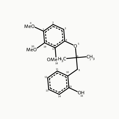 COc1ccc(OC(C)(C)Cc2ccccc2O)c(OC)c1OC